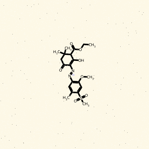 CCOC(=O)C1C(O)=C(/N=N/c2cc(C)c(S(C)(=O)=O)cc2OC)C(=O)CC1(C)C